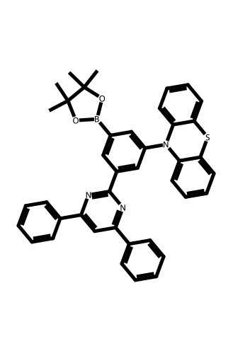 CC1(C)OB(c2cc(-c3nc(-c4ccccc4)cc(-c4ccccc4)n3)cc(N3c4ccccc4Sc4ccccc43)c2)OC1(C)C